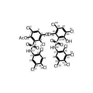 CC(=O)Oc1c(Cl)cc(Cl)c(Cl)c1S(=O)(=O)Nc1cc(Cl)c(Cl)cc1Cl.O=S(=O)(Nc1cc(Cl)c(Cl)c(Cl)c1Cl)c1c(O)c(Cl)cc(Cl)c1Cl